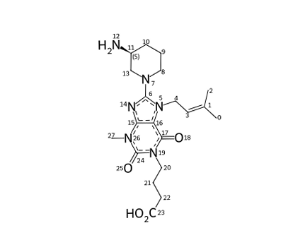 CC(C)=CCn1c(N2CCC[C@H](N)C2)nc2c1c(=O)n(CCCC(=O)O)c(=O)n2C